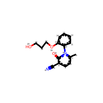 Cc1ccc(C#N)c(=O)n1-c1ccccc1OCCCO